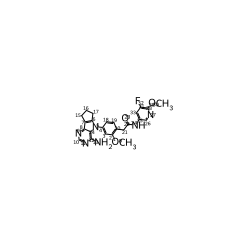 COc1cc(-n2c3c(c4ncnc(N)c42)CCC3)ccc1CC(=O)Nc1cnc(OC)c(F)c1